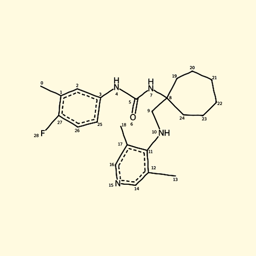 Cc1cc(NC(=O)NC2(CNc3c(C)cncc3C)CCCCCC2)ccc1F